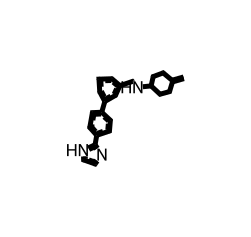 C=C1CCC(NCc2cccc(-c3ccc(-c4ncc[nH]4)cc3)c2)CC1